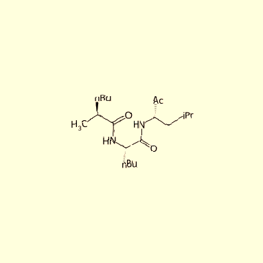 CCCC[C@H](NC(=O)[C@@H](C)CCCC)C(=O)N[C@@H](CC(C)C)C(C)=O